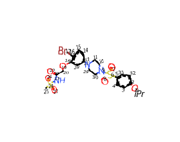 CC(C)Oc1ccc(S(=O)(=O)N2CCN(c3ccc(Br)c(OCC(=O)NS(C)(=O)=O)c3)CC2)cc1